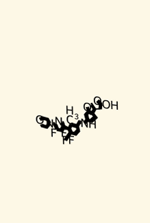 Cc1c(CNc2ccc3c(c2)OC[C@H]3CC(=O)O)ccc(C(F)(F)F)c1-c1cnc(N2CCOCC2)c(F)c1